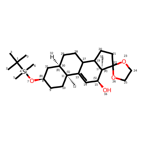 CC(C)(C)[Si](C)(C)O[C@@H]1CC[C@]2(C)C3=C[C@H](O)[C@@]4(C)C(CCC45OCCO5)C3CC[C@@H]2C1